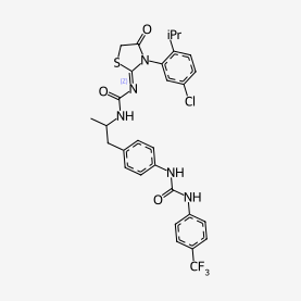 CC(Cc1ccc(NC(=O)Nc2ccc(C(F)(F)F)cc2)cc1)NC(=O)/N=C1\SCC(=O)N1c1cc(Cl)ccc1C(C)C